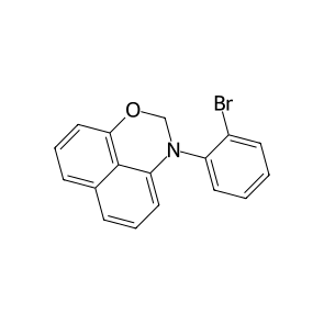 Brc1ccccc1N1COc2cccc3cccc1c23